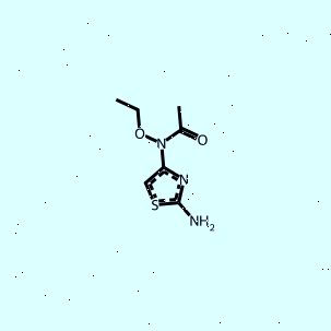 CCON(C(C)=O)c1csc(N)n1